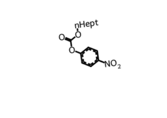 CCCCCCCOC(=O)Oc1ccc([N+](=O)[O-])cc1